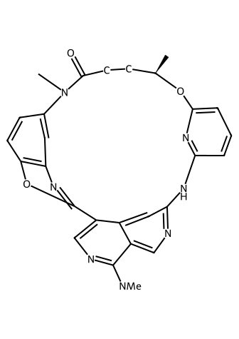 CNc1ncc2c3cc(ncc13)Nc1cccc(n1)O[C@H](C)CCC(=O)N(C)c1ccc3oc-2nc3c1